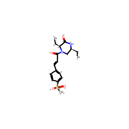 CC(C)C[C@H]1CN(C(=O)C=Cc2ccc(S(C)(=O)=O)cc2)[C@@H](CC(C)C)C(=O)N1